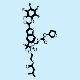 CC(C)CC(=O)SCCOP(=O)(OCOC(=O)OC1CCOC1)C(F)(F)c1ccc2sc(C(=O)Oc3c(F)c(F)c(F)c(F)c3F)cc2c1